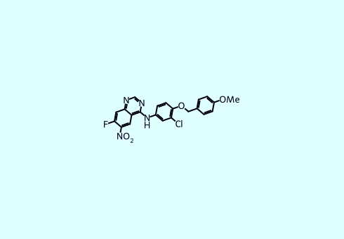 COc1ccc(COc2ccc(Nc3ncnc4cc(F)c([N+](=O)[O-])cc34)cc2Cl)cc1